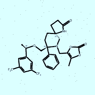 Cc1oc(=O)oc1CN1C[C@@]2(CCC(=O)N2)CC[C@@]1(CO[C@H](C)c1cc(C(F)(F)F)cc(C(F)(F)F)c1)c1ccccc1